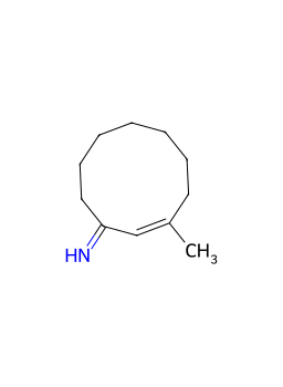 C/C1=C/C(=N)CCCCCCC1